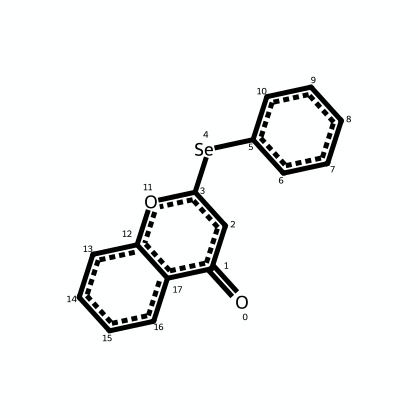 O=c1cc([Se]c2ccccc2)oc2ccccc12